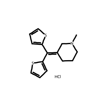 CN1CCCC(=C(c2cccs2)c2cccs2)C1.Cl